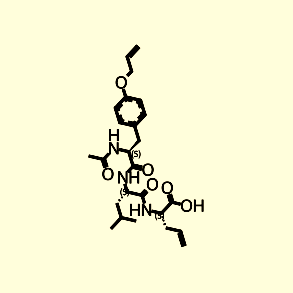 C=CCOc1ccc(C[C@H](NC(C)=O)C(=O)N[C@@H](CC(C)C)C(=O)N[C@@H](CC=C)C(=O)O)cc1